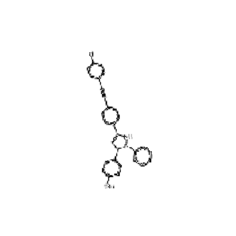 CC(C)(C)c1ccc(C2C=C(c3ccc(C#Cc4ccc(Cl)cc4)cc3)NN2c2ccccc2)cc1